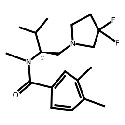 Cc1ccc(C(=O)N(C)[C@H](CN2CCC(F)(F)C2)C(C)C)cc1C